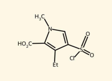 CCc1c(S(=O)(=O)Cl)cn(C)c1C(=O)O